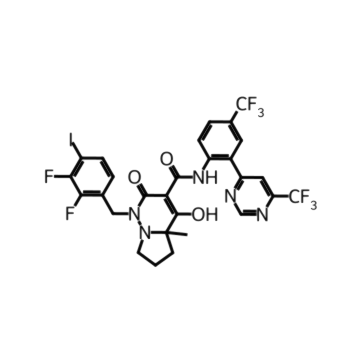 CC12CCCN1N(Cc1ccc(I)c(F)c1F)C(=O)C(C(=O)Nc1ccc(C(F)(F)F)cc1-c1cc(C(F)(F)F)ncn1)=C2O